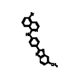 Cc1ccc2nc(-c3ccc(Nc4nccc5c(Br)cccc45)cc3)sc2c1